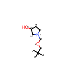 CC(C)(C)COCN1CCC(O)C1